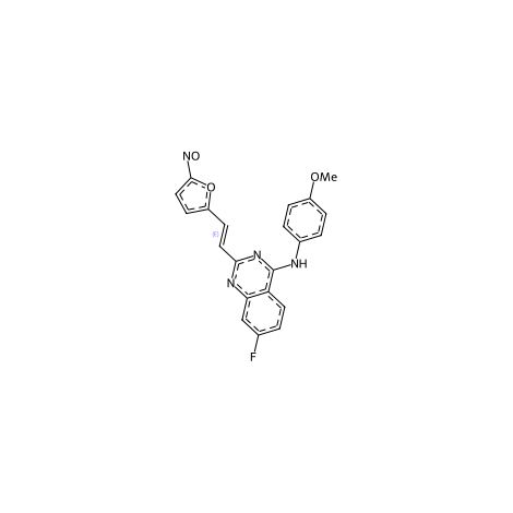 COc1ccc(Nc2nc(/C=C/c3ccc(N=O)o3)nc3cc(F)ccc23)cc1